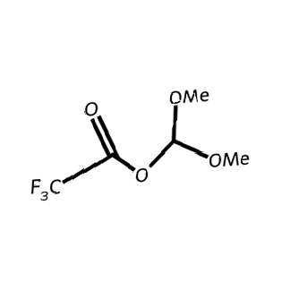 COC(OC)OC(=O)C(F)(F)F